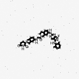 Cc1cccc(C)c1Nc1nn(C)c2nc(Nc3ccc4c(c3)CN(C(=O)CNc3ccc5c(c3)CN(C3CCC(=O)NC3=O)C5)CC4)ncc12